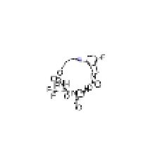 O=C[C@@H]1C[C@@H]2CN1C(=O)[C@H](CC(F)(F)F)NC(=O)OCCC/C=C/c1ccc(F)c3c1CN(C3)C(=O)O2